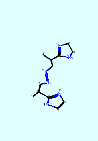 CC(CN=NCC(C)C1=NCCN1)C1=NCCN1